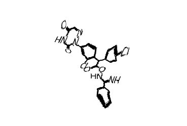 N=C(NOC(=O)C(c1ccc(Cl)cc1)c1ccc(-n2ncc(=O)[nH]c2=O)cc1Cl)c1ccccc1